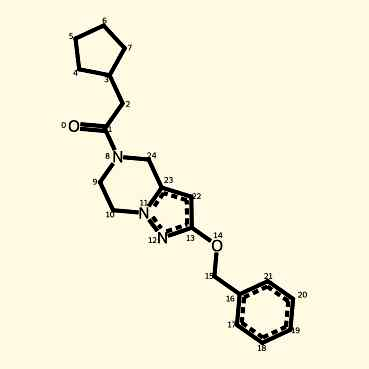 O=C(CC1CCCC1)N1CCn2nc(OCc3ccccc3)cc2C1